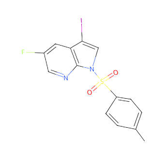 Cc1ccc(S(=O)(=O)n2cc(I)c3cc(F)cnc32)cc1